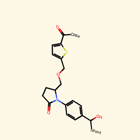 CCCCCC(O)c1ccc(N2C(=O)CCC2COCc2ccc(C(=O)OC)s2)cc1